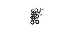 NC(Cc1ccn(C(c2ccccc2)(c2ccccc2)c2ccccc2)n1)C(=O)O